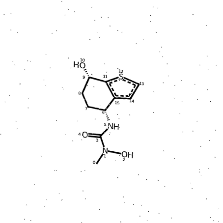 CN(O)C(=O)N[C@@H]1CC[C@H](O)c2sccc21